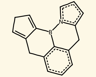 C1=C2Cc3cccc4c3B(C2=CC1)n1cccc1C4